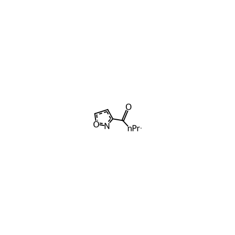 CC[CH]C(=O)c1ccon1